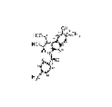 CCC(C(=O)O)n1c(=NC(=O)c2ccc(C)cc2)sc2cc(C)c(C)cc21